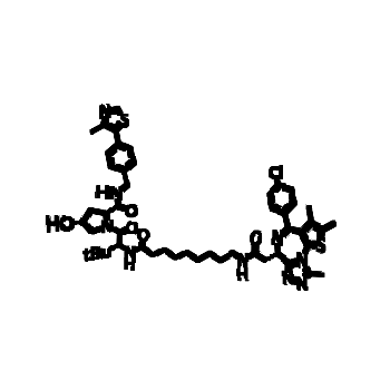 Cc1ncsc1-c1ccc(CNC(=O)[C@@H]2C[C@@H](O)CN2C(=O)[C@@H](NC(=O)CCCCCCCCNC(=O)C[C@@H]2N=C(c3ccc(Cl)cc3)c3c(sc(C)c3C)-n3c(C)nnc32)C(C)(C)C)cc1